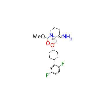 COC(=O)N1CCC[C@H](N)[C@@H]1CO[C@H]1CC[C@@H](c2cc(F)ccc2F)CC1